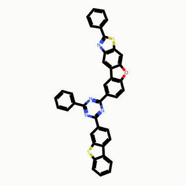 c1ccc(-c2nc(-c3ccc4c(c3)sc3ccccc34)nc(-c3ccc4oc5cc6sc(-c7ccccc7)nc6cc5c4c3)n2)cc1